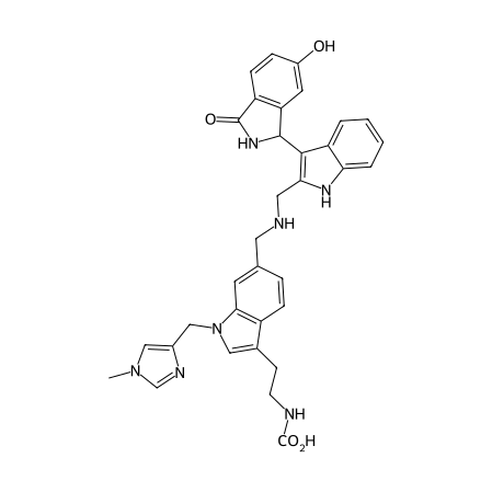 Cn1cnc(Cn2cc(CCNC(=O)O)c3ccc(CNCc4[nH]c5ccccc5c4C4NC(=O)c5ccc(O)cc54)cc32)c1